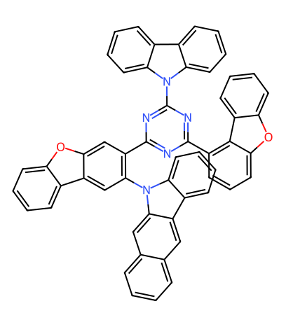 c1ccc2cc3c(cc2c1)c1ccccc1n3-c1cc2c(cc1-c1nc(-c3cccc4oc5ccccc5c34)nc(-n3c4ccccc4c4ccccc43)n1)oc1ccccc12